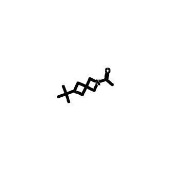 CC(=O)N1CC2(CC(C(C)(C)C)C2)C1